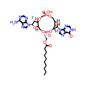 CCCCCCCCCC(=O)OCSP1(=O)OC[C@H]2O[C@@H](n3cnc4c(N)ncnc43)[C@H](F)[C@@H]2OCP(=O)(O)OC[C@H]2O[C@@H](n3cnc4c(=O)[nH]cnc43)[C@H](O1)[C@@H]2F